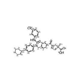 O=C(NCC(F)(F)C(=O)O)c1ccc(CN(C(=O)Nc2cccc(Cl)c2)c2ccc(C3CCCCC3)cc2)cc1